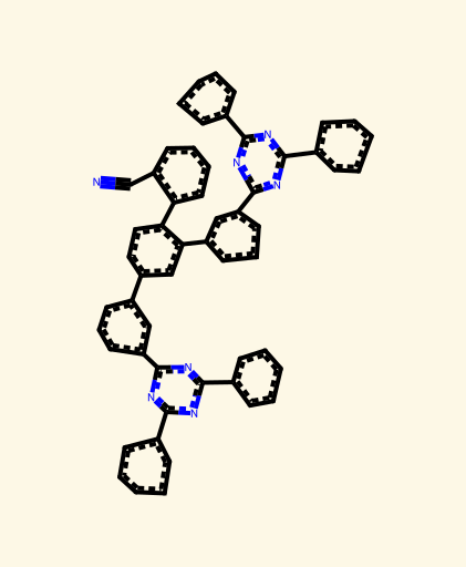 N#Cc1ccccc1-c1ccc(-c2cccc(-c3nc(-c4ccccc4)nc(-c4ccccc4)n3)c2)cc1-c1cccc(-c2nc(-c3ccccc3)nc(-c3ccccc3)n2)c1